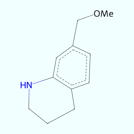 COCc1ccc2c(c1)NCCC2